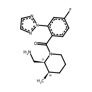 C[C@@H]1CCCN(C(=O)c2ccc(F)cc2-n2nccn2)[C@@H]1CN